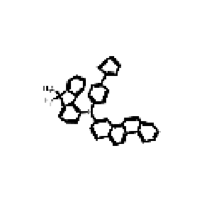 CC1(C)c2ccccc2-c2c(N(c3ccc(-c4ccccc4)cc3)c3ccc4ccc5c6ccccc6ccc5c4c3)cccc21